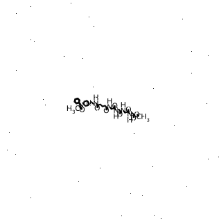 COC(=O)CNC(=O)CNC(=O)CNC(=O)CNC(=O)CCCC(=O)NCCN1CCC(N(C(C)=O)c2ccccc2)CC1